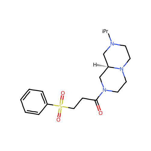 CC(C)N1CCN2CCN(C(=O)CCS(=O)(=O)c3ccccc3)C[C@H]2C1